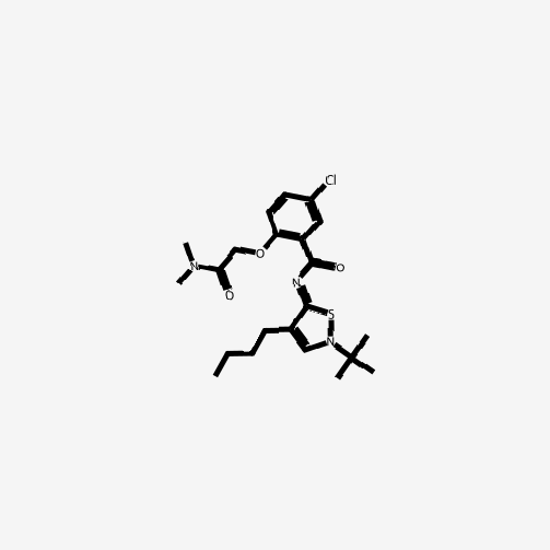 CCCCc1cn(C(C)(C)C)sc1=NC(=O)c1cc(Cl)ccc1OCC(=O)N(C)C